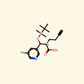 C#CCC[C@@H](C(=O)O)C(O[Si](C)(C)C(C)(C)C)c1cncc(F)c1